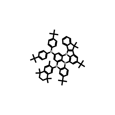 Cc1cc2c(cc1N1c3cc(C(C)(C)C)ccc3B3c4c1cc(N(c1ccc(C(C)(C)C)cc1)c1ccc(C(C)(C)C)cc1)cc4-n1c4c(c5cc(C(C)(C)C)cc3c51)C(C)(C)c1ccccc1-4)C(C)(C)CCC2(C)C